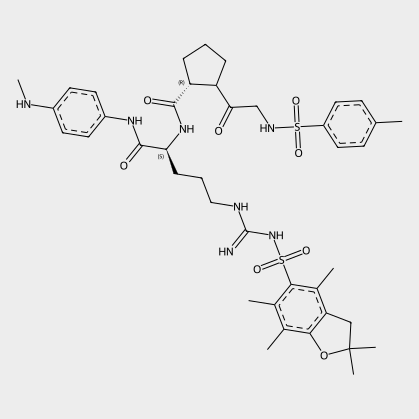 CNc1ccc(NC(=O)[C@H](CCCNC(=N)NS(=O)(=O)c2c(C)c(C)c3c(c2C)CC(C)(C)O3)NC(=O)[C@@H]2CCCC2C(=O)CNS(=O)(=O)c2ccc(C)cc2)cc1